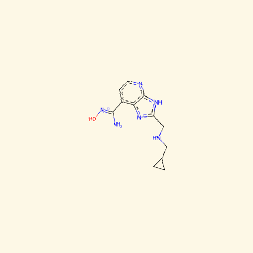 N/C(=N\O)c1ccnc2[nH]c(CNCC3CC3)nc12